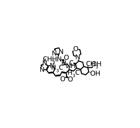 C=C1C(N2CCOCC2)CC2[C@](C)(CC[C@@H](O)[C@@]2(C)CO)C1CC(NC(C)C(=O)NC1=NCC=N1)C1=C/C(=C\c2cnc3c(c2)ncn3C)OC1=O